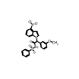 COc1cccc(C(C(=O)NS(=O)(=O)c2ccccc2)n2ccc3c([N+](=O)[O-])cccc32)c1